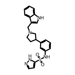 O=S(=O)(Nc1cccc(C2CCN(Cc3c[nH]c4ccccc34)C2)c1)c1ccn[nH]1